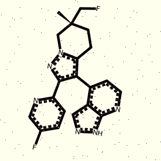 C[C@@]1(CF)CCc2c(-c3ccnc4[nH]ncc34)c(-c3ccc(F)cn3)nn2C1